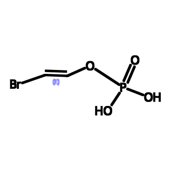 O=P(O)(O)O/C=C/Br